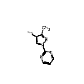 [2H]c1cn(-c2ncccn2)nc1C